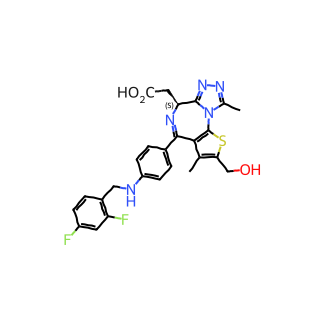 Cc1c(CO)sc2c1C(c1ccc(NCc3ccc(F)cc3F)cc1)=N[C@@H](CC(=O)O)c1nnc(C)n1-2